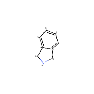 c1ccc2c(c1)C[N]C2